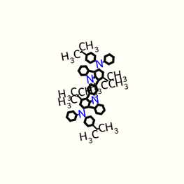 CC(C)c1ccc(N(c2ccccc2)c2cc(C(C)(C)C)c3c4cc5c(cc4n4c6ccccc6c2c34)c2c(C(C)(C)C)cc(N(c3ccccc3)c3ccc(C(C)C)cc3)c3c4ccccc4n5c32)cc1